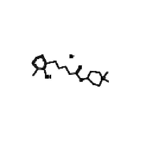 Cc1cccc(CCCCC(=O)OC2CC[N+](C)(C)CC2)c1O.[Br-]